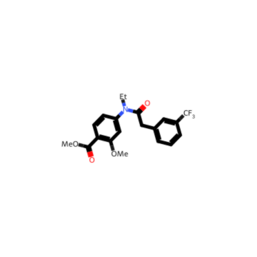 CCN(C(=O)Cc1cccc(C(F)(F)F)c1)c1ccc(C(=O)OC)c(OC)c1